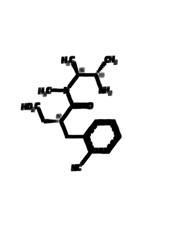 C[C@H](N)[C@H](C)N(C)C(=O)[C@@H](CC(=O)O)Cc1ccccc1C#N